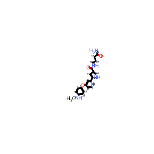 CNc1ccc(Oc2ccnc(-c3cc(C(=O)NCCCC(N)=O)c[nH]3)c2)cc1